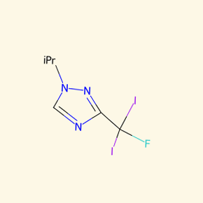 CC(C)n1cnc(C(F)(I)I)n1